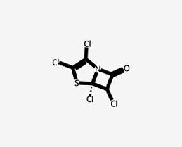 O=C1C(Cl)[C@@]2(Cl)SC(Cl)=C(Cl)N12